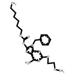 CCCCCCCOC(=O)Oc1nc2c(N)nc(OCCOC)nc2n1Cc1ccccc1